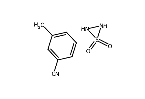 Cc1cccc(C#N)c1.O=S1(=O)NN1